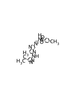 Cc1ccc(S(=O)(=O)NC2CN(c3cnc4ccc(Nc5cc(C(C)C)cnn5)nc4c3)C2)cc1